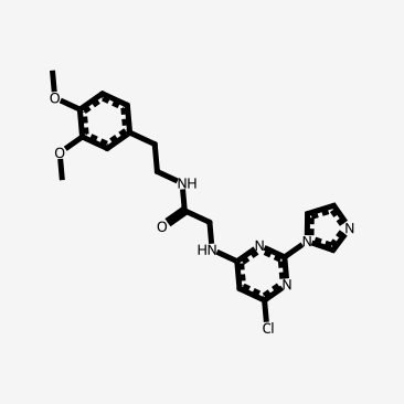 COc1ccc(CCNC(=O)CNc2cc(Cl)nc(-n3ccnc3)n2)cc1OC